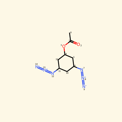 CC(=O)OC1CC(N=[N+]=[N-])CC(N=[N+]=[N-])C1